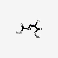 CNC(=O)N/C=C(/C#N)C(=O)OC(C)(C)C